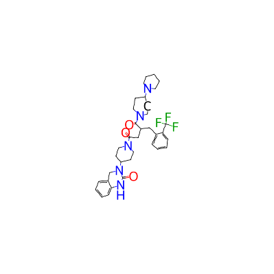 O=C(CC(Cc1ccccc1C(F)(F)F)C(=O)N1CCC(N2CCCCC2)CC1)N1CCC(N2Cc3ccccc3NC2=O)CC1